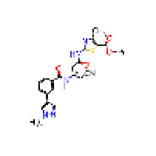 Cc1nc(NC(=O)C[C@@H](CC#N)NC(=O)c2cccc(-c3cnn(C)c3)c2)sc1C(=O)OC(C)C